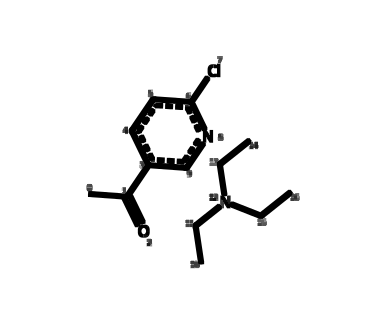 CC(=O)c1ccc(Cl)nc1.CCN(CC)CC